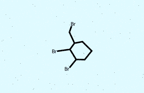 BrCC1CCCC(Br)C1Br